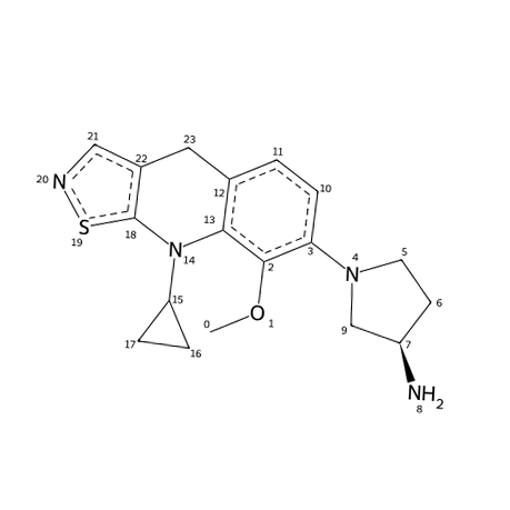 COc1c(N2CC[C@@H](N)C2)ccc2c1N(C1CC1)c1sncc1C2